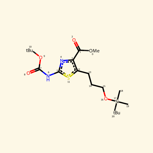 COC(=O)c1nc(NC(=O)OC(C)(C)C)sc1CCCO[Si](C)(C)C(C)(C)C